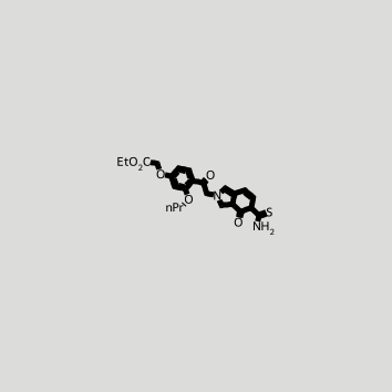 CCCOc1cc(OCC(=O)OCC)ccc1C(=O)CN1C=C2C=CC(C(N)=S)C(=O)C2C1